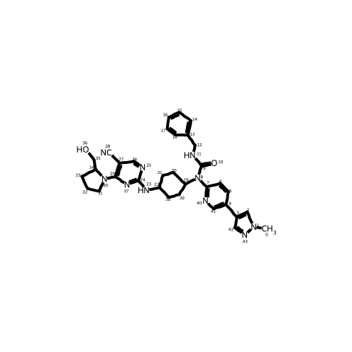 Cn1cc(-c2ccc(N(C(=O)NCc3ccccc3)C3CCC(Nc4ncc(C#N)c(N5CCCC5CO)n4)CC3)nc2)cn1